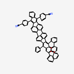 N#Cc1ccc(-c2c3c(c(-c4ccc(C#N)cc4)c4ccccc24)-c2ccc4c5ccc6c7c(-c8ccccc8-c8ccccc8)c8cc9c(cc8c(-c8ccccc8)c7c7ccc(c8ccc-3c2c84)c5c76)c2cccc3cccc9c32)cc1